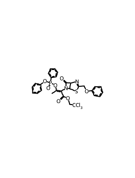 CC(OP(=O)(Oc1ccccc1)c1ccccc1)=C(C(=O)OCC(Cl)(Cl)Cl)N1C(=O)C2N=C(COc3ccccc3)SC21